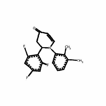 Cc1cccc(N2C=CC(=O)CC2c2c(F)cc(F)cc2F)c1C